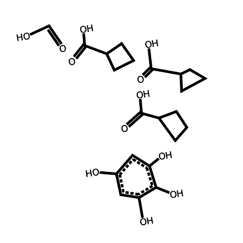 O=C(O)C1CCC1.O=C(O)C1CCC1.O=C(O)C1CCC1.O=CO.Oc1cc(O)c(O)c(O)c1